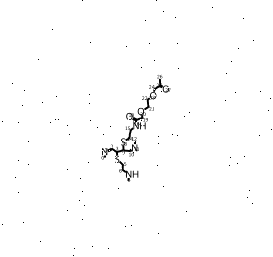 C/N=C\C(SCCNC)C(/C=N\C)SCCNC(=O)COCCOCC(C)=O